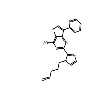 O=CCCCn1ccnc1-c1nc(O)c2scc(-c3ccccn3)c2n1